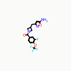 Nc1cc(CC2CN(C(=O)c3ccc(OC(F)(F)F)c(F)c3)C2)no1